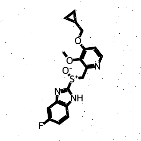 COc1c(OCC2CC2)ccnc1C[S+]([O-])c1nc2cc(F)ccc2[nH]1